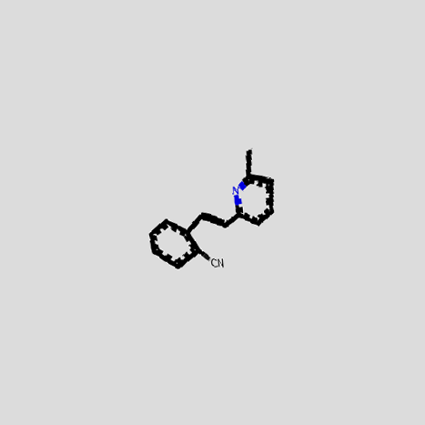 Cc1cccc(C=Cc2ccccc2C#N)n1